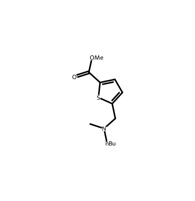 CCCCN(C)Cc1ccc(C(=O)OC)s1